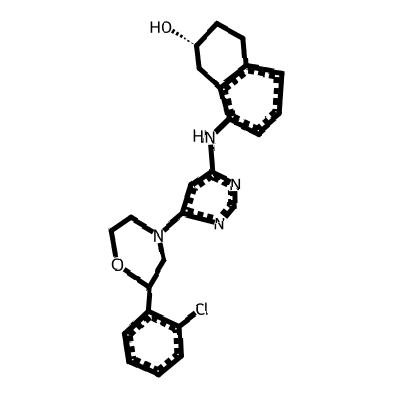 O[C@@H]1CCc2cccc(Nc3cc(N4CCOC(c5ccccc5Cl)C4)ncn3)c2C1